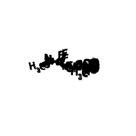 CCOc1cncc(-c2cc(CN3CCN(c4ccc(C(=O)N(C)CC56CC7CC(CC(C7)C5)C6)cc4)CC3)cc(C(F)(F)F)c2)c1